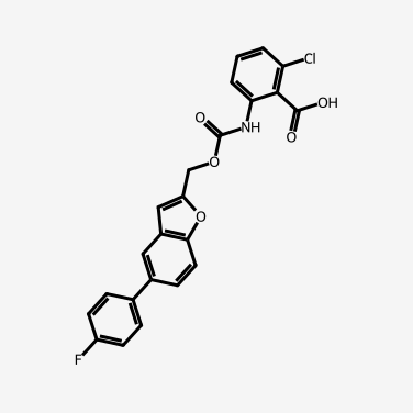 O=C(Nc1cccc(Cl)c1C(=O)O)OCc1cc2cc(-c3ccc(F)cc3)ccc2o1